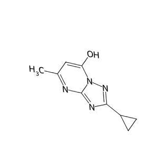 Cc1cc(O)n2nc(C3CC3)nc2n1